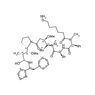 CC[C@H](C)[C@@H]([C@@H](CC(=O)N1CCC[C@H]1[C@H](OC)[C@@H](C)C(O)N[C@@H](Cc1ccccc1)c1nccs1)OC)N(C)C(=O)[C@@H](NC(=O)[C@H](C(C)C)N(C)C(=O)CCCCCON)C(C)C